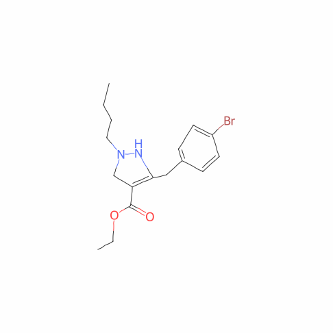 CCCCN1CC(C(=O)OCC)=C(Cc2ccc(Br)cc2)N1